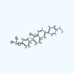 CCc1ccc(-c2ccc3c(F)c(-c4ccc(OC(F)F)cc4)ccc3c2)cc1